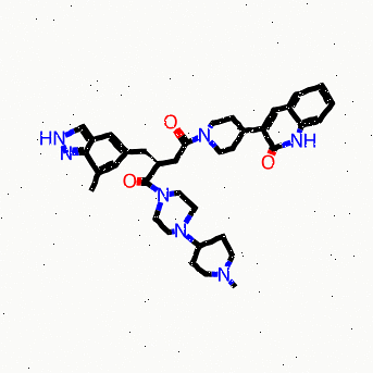 Cc1cc(C[C@@H](CC(=O)N2CCC(c3cc4ccccc4[nH]c3=O)CC2)C(=O)N2CCN(C3CCN(C)CC3)CC2)cc2c[nH]nc12